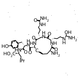 CC(C)C[C@H](NC(=O)[C@H](Cc1ccc(O)cc1)NC(=O)[C@@H]1C/C=C/C[C@H](N)C(=O)N[C@@H](CCCNC(N)O)C(=O)N[C@@H](CCCNC(N)=O)C(=O)N1)C(=O)O